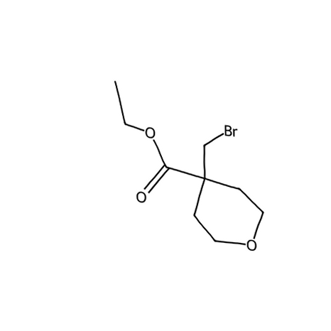 CCOC(=O)C1(CBr)CCOCC1